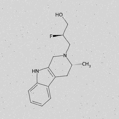 C[C@@H]1Cc2c([nH]c3ccccc23)CN1C[C@@H](F)CO